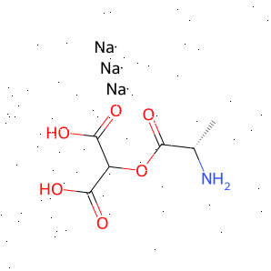 C[C@H](N)C(=O)OC(C(=O)O)C(=O)O.[Na].[Na].[Na]